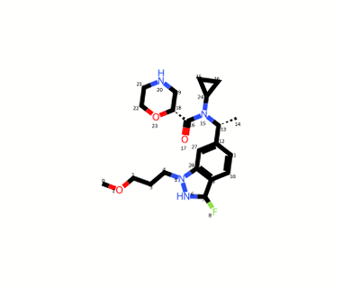 COCCCN1NC(F)c2ccc([C@@H](C)N(C(=O)[C@H]3CNCCO3)C3CC3)cc21